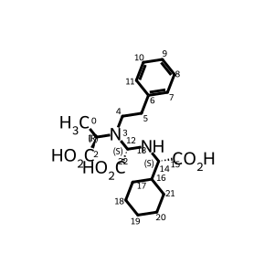 C[C@H](C(=O)O)N(CCc1ccccc1)[C@H](N[C@H](C(=O)O)C1CCCCC1)C(=O)O